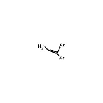 CC(=O)C(=CN)C(C)=O